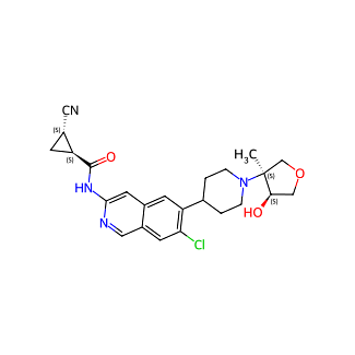 C[C@]1(N2CCC(c3cc4cc(NC(=O)[C@H]5C[C@@H]5C#N)ncc4cc3Cl)CC2)COC[C@H]1O